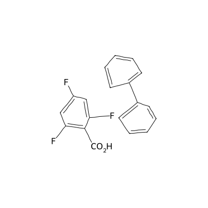 O=C(O)c1c(F)cc(F)cc1F.c1ccc(-c2ccccc2)cc1